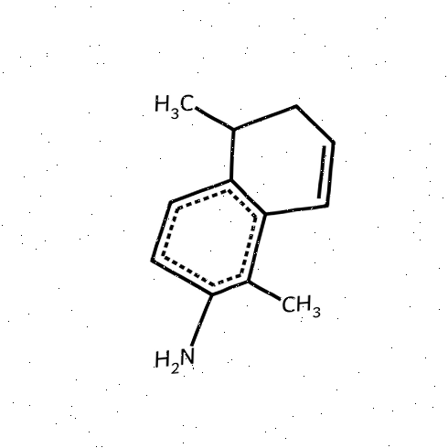 Cc1c(N)ccc2c1C=CCC2C